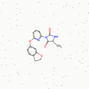 CC1NC(=O)N(c2cccc(Oc3ccc4c(c3)OCC4)n2)C1=O